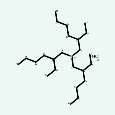 CCCCC(CC)CN(CC(CC)CCCC)CC(CC)CCCC.Cl